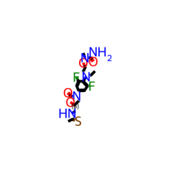 CCN(CCON(C)C(N)=O)c1c(F)cc(N2C[C@H](CNC(C)=S)OC2=O)cc1F